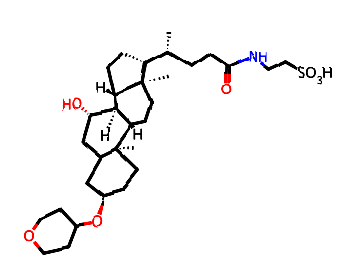 C[C@H](CCC(=O)NCCS(=O)(=O)O)[C@H]1CC[C@H]2[C@@H]3[C@@H](O)CC4C[C@H](OC5CCOCC5)CC[C@]4(C)[C@H]3CC[C@]12C